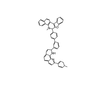 CC1C=CC(c2ccc3ccc4c(c3n2)NC(c2cccc(-c3ccc(C5c6oc7ccccc7c6-c6ccc7ccccc7c6N5C)cc3)c2)C=C4)=CC1